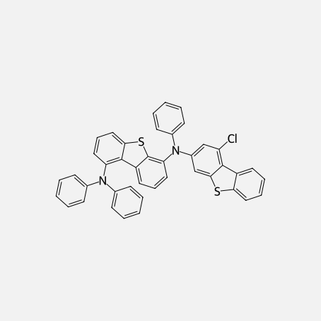 Clc1cc(N(c2ccccc2)c2cccc3c2sc2cccc(N(c4ccccc4)c4ccccc4)c23)cc2sc3ccccc3c12